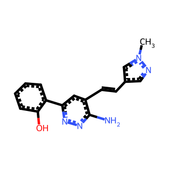 Cn1cc(/C=C/c2cc(-c3ccccc3O)nnc2N)cn1